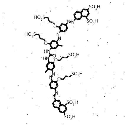 Cc1cc(NC(=O)Nc2cc(C)c(N=Nc3ccc(N=Nc4ccc5cc(S(=O)(=O)O)cc(S(=O)(=O)O)c5c4)cc3OCCCS(=O)(=O)O)cc2OCCCS(=O)(=O)O)c(OCCCS(=O)(=O)O)cc1N=Nc1ccc(N=Nc2ccc3cc(S(=O)(=O)O)cc(S(=O)(=O)O)c3c2)cc1OCCCS(=O)(=O)O